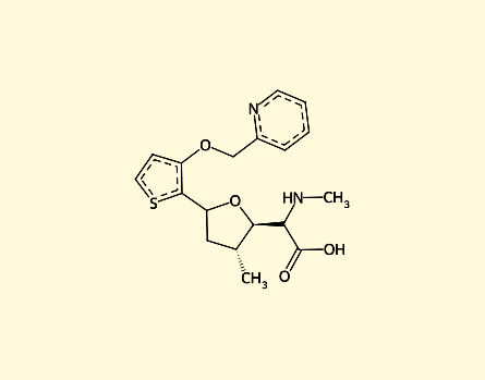 CNC(C(=O)O)[C@@H]1OC(c2sccc2OCc2ccccn2)C[C@H]1C